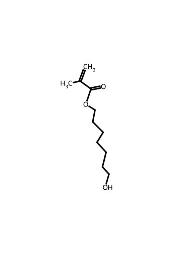 C=C(C)C(=O)OCCCCCCCO